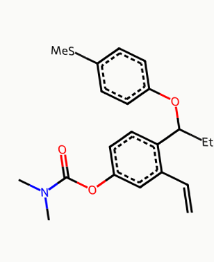 [CH2]CC(Oc1ccc(SC)cc1)c1ccc(OC(=O)N(C)C)cc1C=C